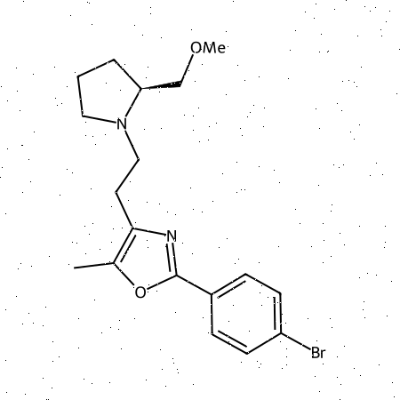 COC[C@@H]1CCCN1CCc1nc(-c2ccc(Br)cc2)oc1C